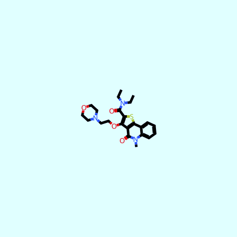 CCN(CC)C(=O)c1sc2c(c1OCCN1CCOCC1)c(=O)n(C)c1ccccc21